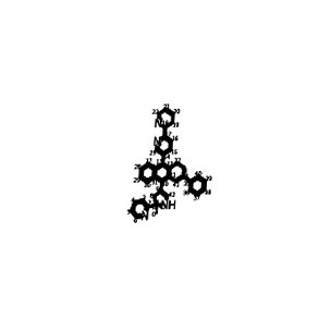 C[C@@]1(c2ccccn2)CC(c2c3c(c(-c4ccc(C5CC=CC=N5)nc4)c4ccccc24)CCC(c2ccccc2)=C3)=CN1